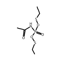 CCSOP(=O)(NC(C)=O)OSCC